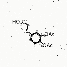 CC(=O)Oc1ccc(SCC(=O)O)cc1OC(C)=O